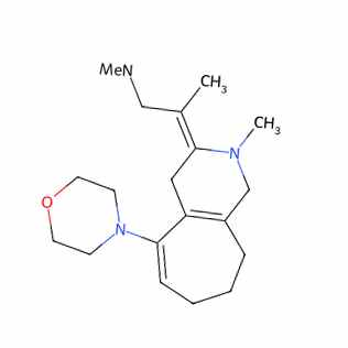 CNC/C(C)=C1\CC2=C(CCCC=C2N2CCOCC2)CN1C